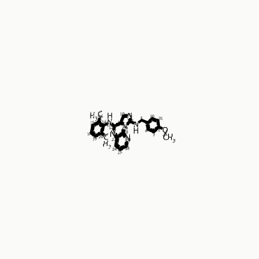 COc1ccc(CNc2ncc3c(Nc4c(C)cccc4C)nc4cccnc4n23)cc1